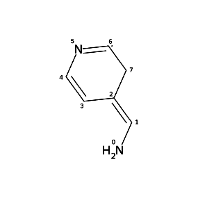 NC=C1C=CN=[C]C1